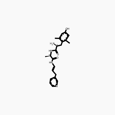 Cc1cc(O)cc(C)c1C[C@H](N)C(=O)N[C@H](C)C(=O)NC=CCc1cccnc1